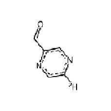 [2H]c1cnc(C=O)cn1